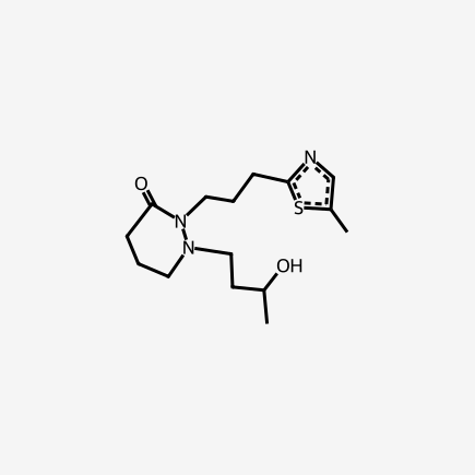 Cc1cnc(CCCN2C(=O)CCCN2CCC(C)O)s1